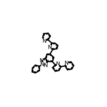 c1ccc(-n2nc3cc(-c4cccc(-c5ccccn5)n4)cc(-c4cccc(-c5ccccn5)n4)c3n2)cc1